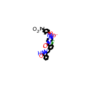 Cc1cc([N+](=O)[O-])ccc1O/N=[N+](\[O-])N1CCN(C(=O)c2cc(Cc3n[nH]c(=O)c4ccccc34)ccc2F)CC1